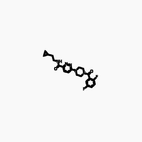 O=C(NCCC1CC1)c1ccc(N2CCN(C(=O)c3cc(F)ccc3F)CC2)nn1